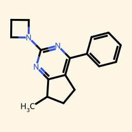 CC1CCc2c(-c3ccccc3)nc(N3CCC3)nc21